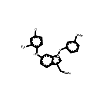 CNCc1cn(Sc2cccc(OC)c2)c2cc(Nc3ccc(Cl)cc3C(F)(F)F)ccc12